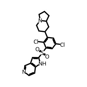 O=S(=O)(c1cc2cnccc2[nH]1)c1cc(Cl)cc(C2CCN3CCCC3C2)c1Cl